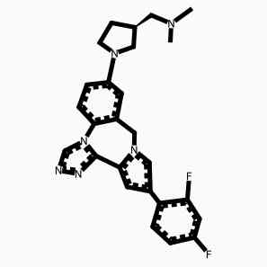 CN(C)C[C@@H]1CCN(c2ccc3c(c2)Cn2cc(-c4ccc(F)cc4F)cc2-c2nncn2-3)C1